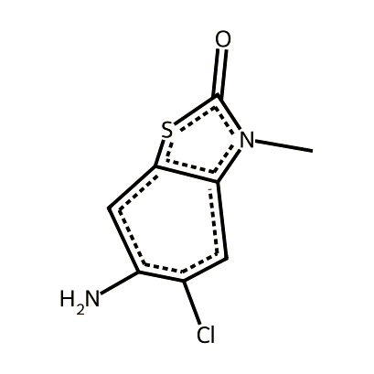 Cn1c(=O)sc2cc(N)c(Cl)cc21